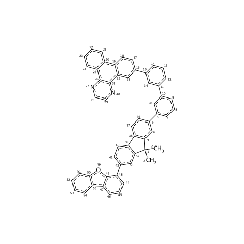 CC1(C)c2cc(-c3cccc(-c4cccc(-c5ccc6c7ccccc7c7nccnc7c6c5)c4)c3)ccc2-c2ccc(-c3cccc4c3oc3ccccc34)cc21